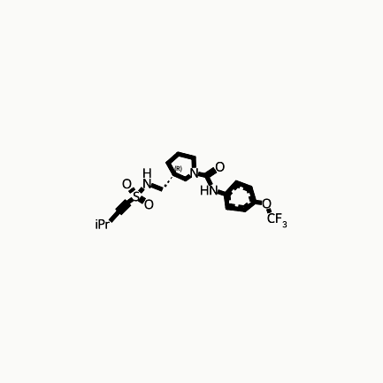 CC(C)C#CS(=O)(=O)NC[C@@H]1CCCN(C(=O)Nc2ccc(OC(F)(F)F)cc2)C1